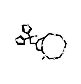 CN1CCCCCCCCCCC2CCC1CC(CC(O)(c1ccsc1)c1ccsc1)C2